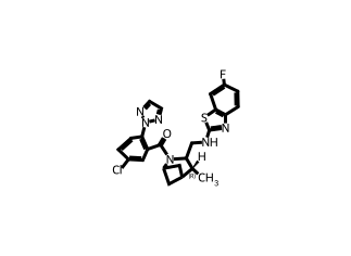 C[C@@H]1C2CC(C2)N(C(=O)c2cc(Cl)ccc2-n2nccn2)C1CNc1nc2ccc(F)cc2s1